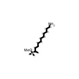 CO[Si](C)(C)C(C)CCCCCCCCCCN